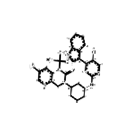 CC(C)(C)OC(=O)N(Cc1ccc(N)cn1)C1CCC[C@@H](Nc2ncc(Cl)c(-c3c[nH]c4ccccc34)n2)C1